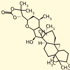 C[C@@H]1C[C@H]([C@@H]2OC(=O)OC2(C)C)OC2C1[C@@]1(C)CC[C@@]34C[C@@]35CC[C@H](O)C(C)(C)[C@@H]5CC[C@H]4[C@]1(C)[C@H]2O